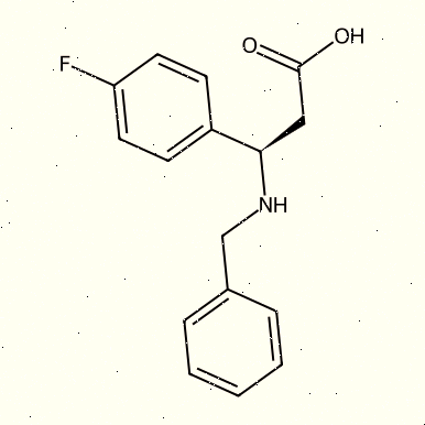 O=C(O)C[C@@H](NCc1ccccc1)c1ccc(F)cc1